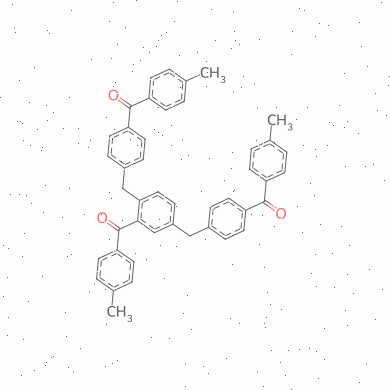 Cc1ccc(C(=O)c2ccc(Cc3ccc(Cc4ccc(C(=O)c5ccc(C)cc5)cc4)c(C(=O)c4ccc(C)cc4)c3)cc2)cc1